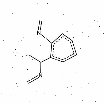 C=Nc1ccccc1C(C)N=C